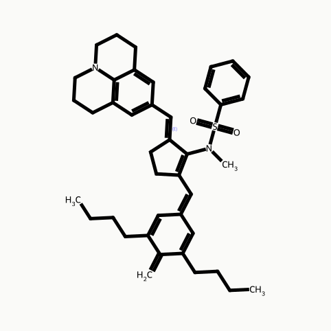 C=c1c(CCCC)cc(=CC2=C(N(C)S(=O)(=O)c3ccccc3)/C(=C/c3cc4c5c(c3)CCCN5CCC4)CC2)cc1CCCC